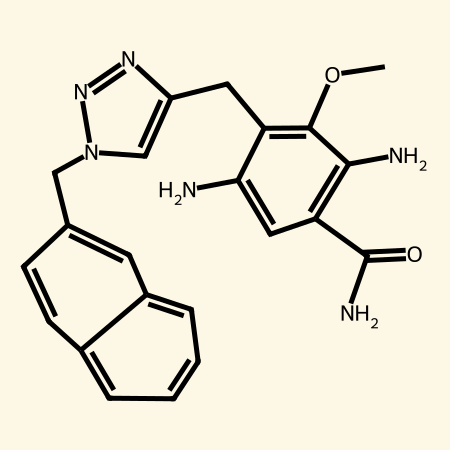 COc1c(N)c(C(N)=O)cc(N)c1Cc1cn(Cc2ccc3ccccc3c2)nn1